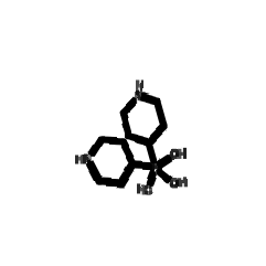 OP(O)(O)(C1CCNCC1)C1CCNCC1